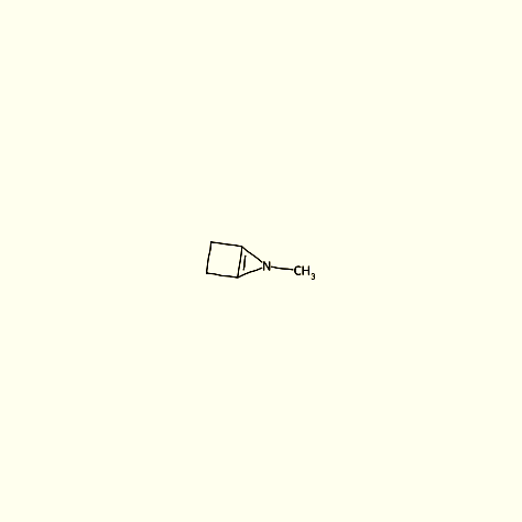 CN1C2=C1CC2